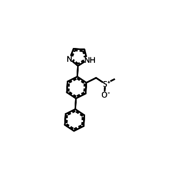 C[S+]([O-])Cc1cc(-c2ccccc2)ccc1-c1ncc[nH]1